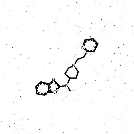 CN(c1nc2ccccc2o1)C1CCN(CCc2ccccn2)CC1